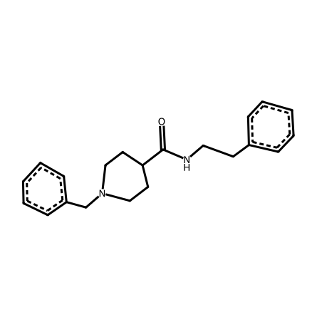 O=C(NCCc1ccccc1)C1CCN(Cc2ccccc2)CC1